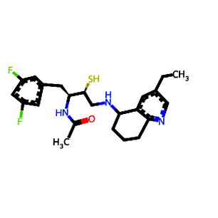 CCc1cnc2c(c1)C(NC[C@H](S)[C@H](Cc1cc(F)cc(F)c1)NC(C)=O)CCC2